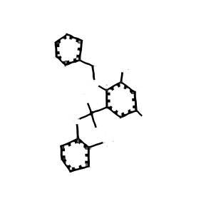 CCC(C)(Pc1ccccc1C=O)c1cc(C)cc(C(C)(C)C)c1OCc1ccccc1